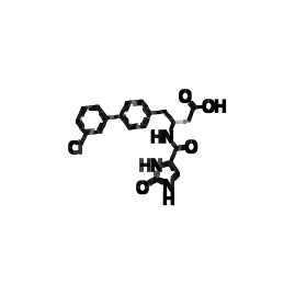 O=C(O)C[C@@H](Cc1ccc(-c2cccc(Cl)c2)cc1)NC(=O)c1c[nH]c(=O)[nH]1